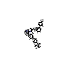 C=C(NC[C@@H]1CCC[C@H](c2ccc(Cl)cc2)O1)/C(C)=C(\N=C/N)C(=O)N1CCC(N2CCC(N(C)S(C)(=O)=O)CC2)CC1